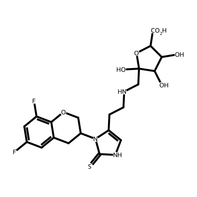 O=C(O)C1OC(O)(CNCCc2c[nH]c(=S)n2C2COc3c(F)cc(F)cc3C2)C(O)C1O